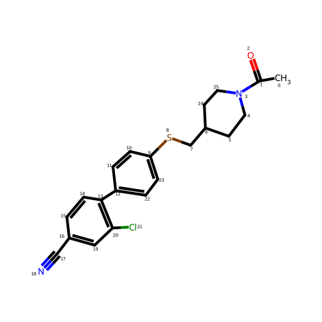 CC(=O)N1CCC(CSc2ccc(-c3ccc(C#N)cc3Cl)cc2)CC1